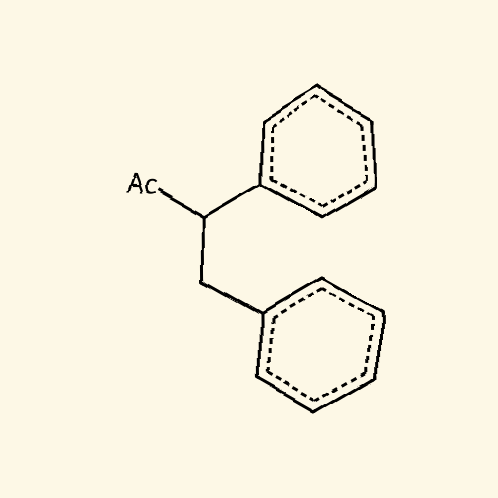 CC(=O)C(Cc1ccccc1)c1ccccc1